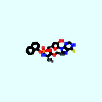 C[C@H](NP(=O)(OC[C@@H]1C[C@H](O)[C@H](n2cnc3c(=S)[nH]cnc32)O1)Oc1cccc2ccccc12)C(=O)OCC(C)(C)C